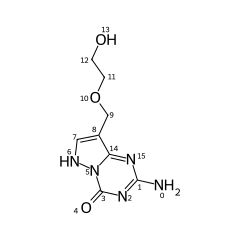 Nc1nc(=O)n2[nH]cc(COCCO)c2n1